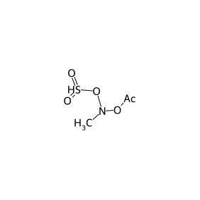 CC(=O)ON(C)O[SH](=O)=O